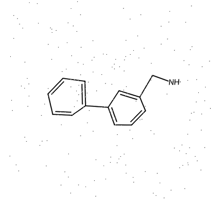 [NH]Cc1cccc(-c2ccccc2)c1